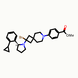 COC(=O)c1ccc(N2CCC3(CC2)CC(Br)(N2CCC[C@H]2c2ccccc2C2CC2)C3)cc1